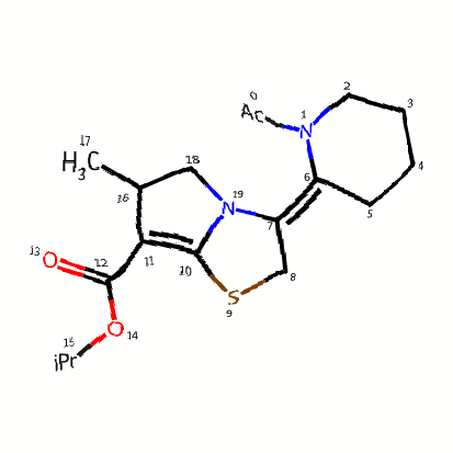 CC(=O)N1CCCCC1=C1CSC2=C(C(=O)OC(C)C)C(C)CN12